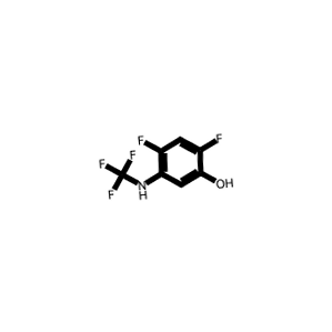 Oc1cc(NC(F)(F)F)c(F)cc1F